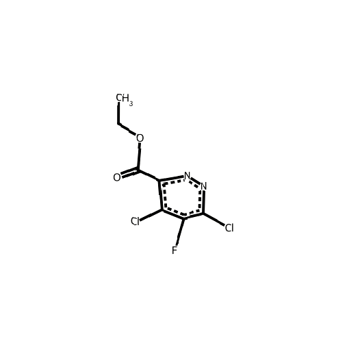 CCOC(=O)c1nnc(Cl)c(F)c1Cl